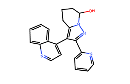 OC1CCCc2c(-c3ccnc4ccccc34)c(-c3ccccn3)nn21